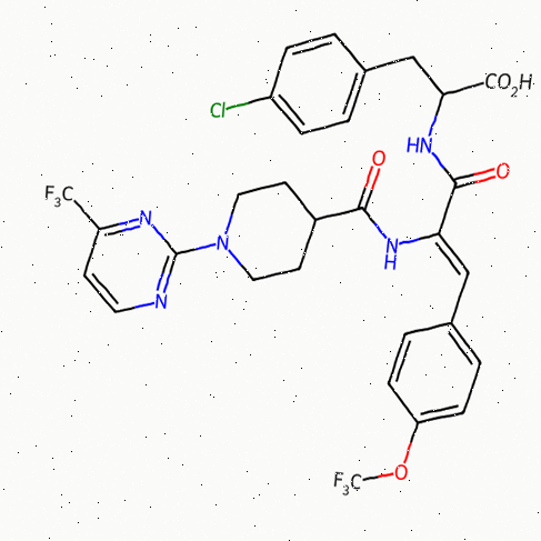 O=C(NC(Cc1ccc(Cl)cc1)C(=O)O)C(=Cc1ccc(OC(F)(F)F)cc1)NC(=O)C1CCN(c2nccc(C(F)(F)F)n2)CC1